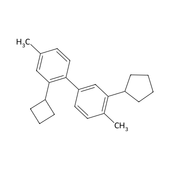 Cc1ccc(-c2ccc(C)c(C3CCCC3)c2)c(C2CCC2)c1